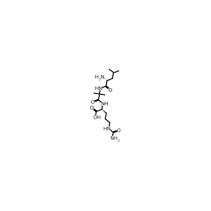 CC(C)C[C@@H](N)C(=O)NC(C)(C)C(=O)N[C@@H](CCCNC(N)=O)C(=O)O